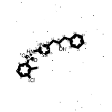 Cc1c(Cl)cccc1S(=O)(=O)Nc1nc(C[C@H](O)Cc2ccccc2)cs1